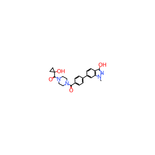 Cn1nc(O)c2ccc(-c3ccc(C(=O)N4CCN(C(=O)C5(O)CC5)CC4)cc3)cc21